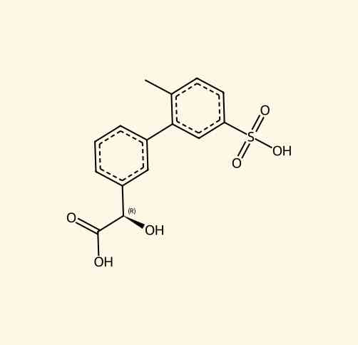 Cc1ccc(S(=O)(=O)O)cc1-c1cccc([C@@H](O)C(=O)O)c1